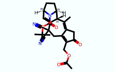 CC(=O)OCC1=C2CC(C#N)(C#N)C3=C[C@H]4CC[C@@H]([C@@H]3C(C)=C2CC1=O)N4C(=O)OC(C)(C)C